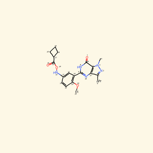 CCCc1nn(C)c2c(=O)[nH]c(-c3cc(NOC(=O)C4CCC4)ccc3OCC)nc12